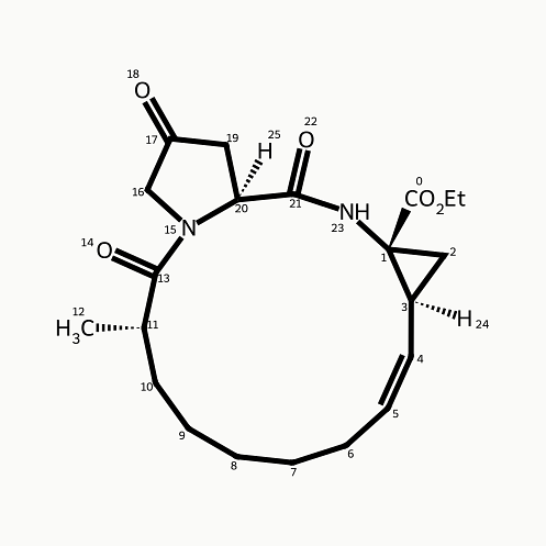 CCOC(=O)[C@@]12C[C@H]1/C=C\CCCCC[C@H](C)C(=O)N1CC(=O)C[C@H]1C(=O)N2